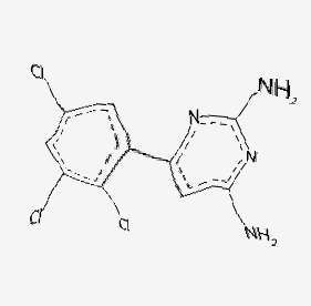 Nc1cc(-c2cc(Cl)cc(Cl)c2Cl)nc(N)n1